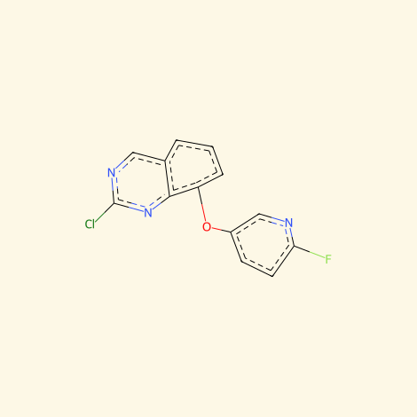 Fc1ccc(Oc2cccc3cnc(Cl)nc23)cn1